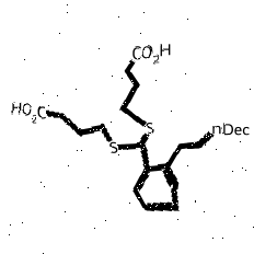 CCCCCCCCCCCCc1ccccc1C(SCCCC(=O)O)SCCCC(=O)O